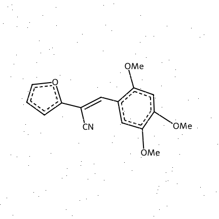 COc1cc(OC)c(OC)cc1/C=C(\C#N)c1ccco1